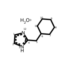 O.c1c[nH]c(CC2CCCCC2)n1